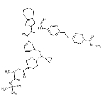 COC(=O)c1ccc(CCc2ccc(NC(=O)c3c(NC(=O)c4cccc(CN(C5CC5)C5CCN(C(=O)CN(C)C(=O)OC(C)(C)C)CC5)c4)sc4c3CCCC4)cc2)cc1